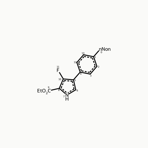 CCCCCCCCCc1ccc(-c2c[nH]c(C(=O)OCC)c2F)cc1